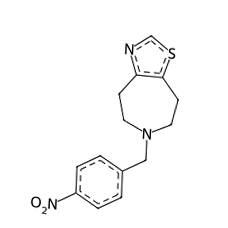 O=[N+]([O-])c1ccc(CN2CCc3ncsc3CC2)cc1